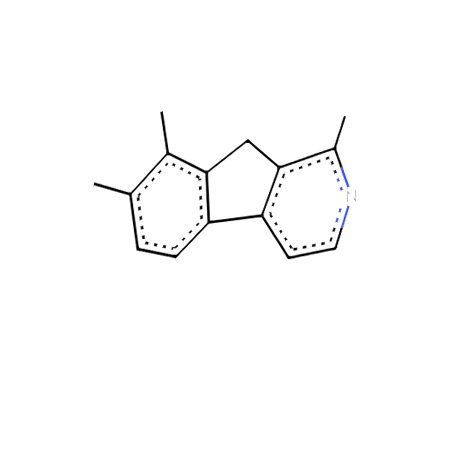 Cc1ccc2c(c1C)Cc1c-2ccnc1C